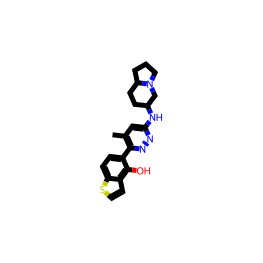 Cc1cc(NC2CCC3CCCN3C2)nnc1-c1ccc2sccc2c1O